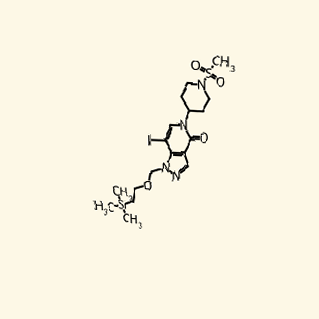 C[Si](C)(C)CCOCn1ncc2c(=O)n(C3CCN(S(C)(=O)=O)CC3)cc(I)c21